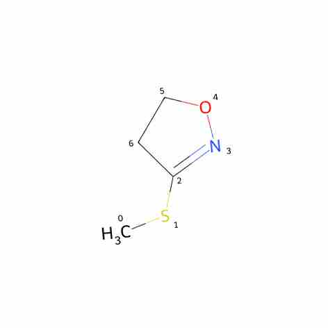 CSC1=NOCC1